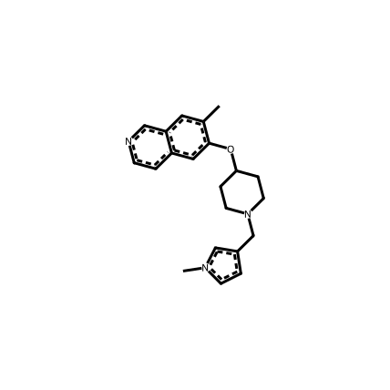 Cc1cc2cnccc2cc1OC1CCN(Cc2ccn(C)c2)CC1